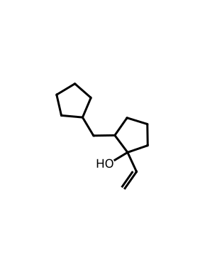 C=CC1(O)CCCC1CC1CCCC1